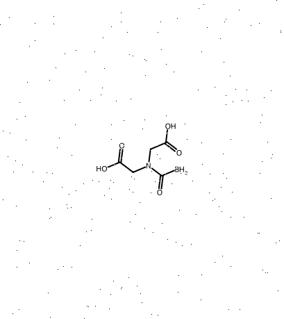 BC(=O)N(CC(=O)O)CC(=O)O